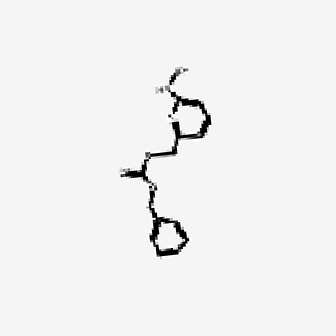 CC(C)Nc1cccc(CSC(=O)OCc2ccccc2)n1